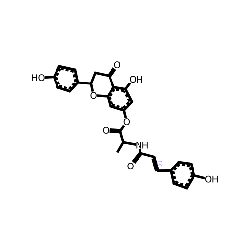 CC(NC(=O)/C=C/c1ccc(O)cc1)C(=O)Oc1cc(O)c2c(c1)OC(c1ccc(O)cc1)CC2=O